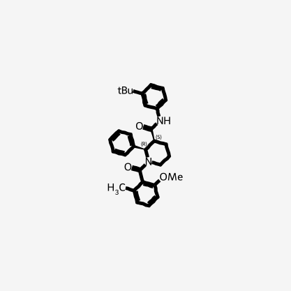 COc1cccc(C)c1C(=O)N1CCC[C@H](C(=O)Nc2cccc(C(C)(C)C)c2)[C@@H]1c1ccccc1